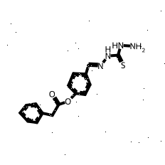 NNC(=S)NN=Cc1ccc(OC(=O)Cc2ccccc2)cc1